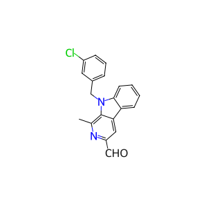 Cc1nc(C=O)cc2c3ccccc3n(Cc3cccc(Cl)c3)c12